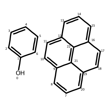 Oc1ccccc1.c1cc2ccc3cccc4ccc(c1)c2c34